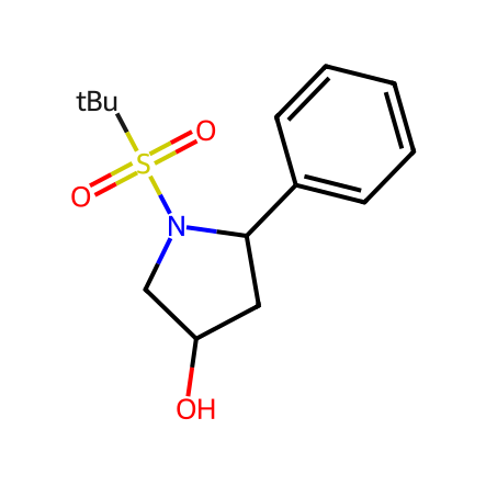 CC(C)(C)S(=O)(=O)N1CC(O)CC1c1ccccc1